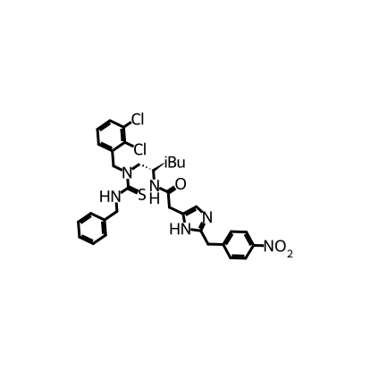 CC[C@H](C)[C@@H](CN(Cc1cccc(Cl)c1Cl)C(=S)NCc1ccccc1)NC(=O)Cc1cnc(Cc2ccc([N+](=O)[O-])cc2)[nH]1